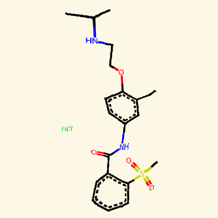 Cc1cc(NC(=O)c2ccccc2S(C)(=O)=O)ccc1OCCNC(C)C.Cl